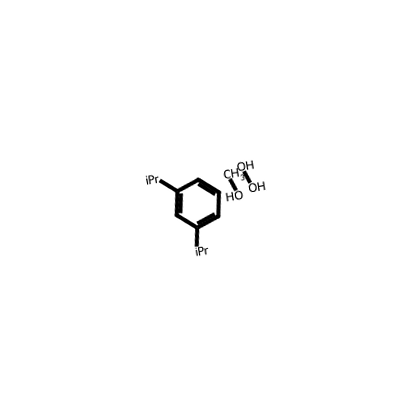 CC(C)c1cccc(C(C)C)c1.CO.OO